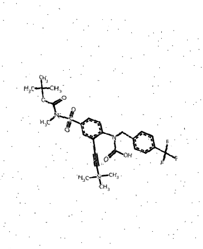 CN(C(=O)OC(C)(C)C)S(=O)(=O)c1ccc(N(Cc2ccc(C(F)(F)F)cc2)C(=O)O)c(C#C[Si](C)(C)C)c1